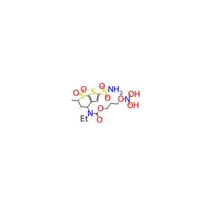 CCN(C(=O)OCCCON(O)O)C1CC(C)S(=O)(=O)c2sc(S(N)(=O)=O)cc21